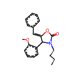 CCCCN1C(=O)OC(=Cc2ccccc2)C1c1ccccc1OC